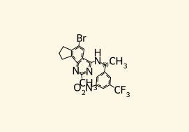 Cc1nc(N[C@H](C)c2cc([N+](=O)[O-])cc(C(F)(F)F)c2)c2cc(Br)c3c(c2n1)CCC3